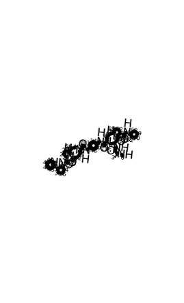 CN[C@@H](C)C(=O)N[C@H]1CN(C(=O)Nc2ccc(NC(=O)N3CCC(=O)N4[C@H](CC[C@H]4C(=O)N[C@@H]4CCC[C@@H]4c4ccccc4)CC3)cc2)CC[C@H]2CC[C@@H](C(=O)N[C@@H]3CCC[C@@H]3C)N2C1=O